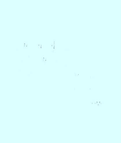 COc1cccc(C(=O)OC[C@H]2CC[C@@H](Nc3nc(N(C)C)c4ccccc4n3)CC2)c1